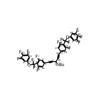 CCCCC(C#Cc1cc(F)c(C(F)(F)Oc2cc(F)c(F)c(F)c2)c(F)c1)C#Cc1cc(F)c(C(F)(F)Oc2cc(F)c(F)c(F)c2)c(F)c1